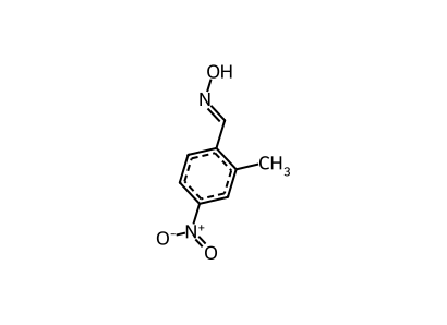 Cc1cc([N+](=O)[O-])ccc1C=NO